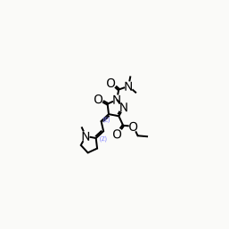 CCOC(=O)C1=NN(C(=O)N(C)C)C(=O)/C1=C/C=C1/CCCN1C